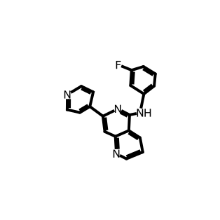 Fc1cccc(Nc2nc(-c3ccncc3)cc3ncccc23)c1